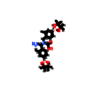 Cc1cc(B2OC(C)(C)C(C)(C)O2)ccc1CN(C(=O)O)C(N)c1ccc(B2OC(C)(C)C(C)(C)O2)cc1C